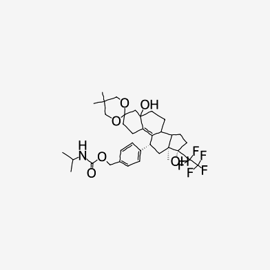 CC(C)NC(=O)OCc1ccc([C@H]2C[C@@]3(C)C(CC[C@@]3(O)C(F)(F)C(F)(F)F)C3CCC4(O)CC5(CCC4=C32)OCC(C)(C)CO5)cc1